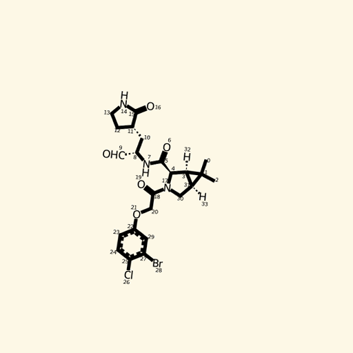 CC1(C)[C@@H]2[C@H](C(=O)N[C@H](C=O)C[C@@H]3CCNC3=O)N(C(=O)COc3ccc(Cl)c(Br)c3)C[C@@H]21